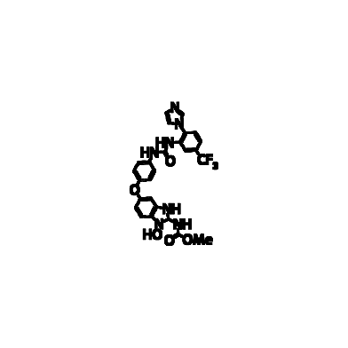 COC(=O)NC1Nc2cc(Oc3ccc(NC(=O)Nc4cc(C(F)(F)F)ccc4-n4ccnc4)cc3)ccc2N1O